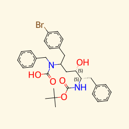 CC(C)(C)OC(=O)N[C@@H](Cc1ccccc1)[C@@H](O)CC(Cc1ccc(Br)cc1)N(Cc1ccccc1)C(=O)O